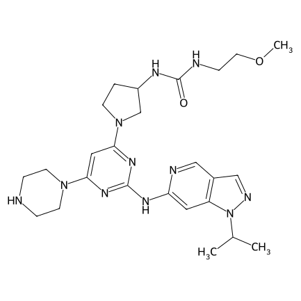 COCCNC(=O)NC1CCN(c2cc(N3CCNCC3)nc(Nc3cc4c(cn3)cnn4C(C)C)n2)C1